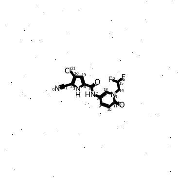 N#Cc1[nH]c(C(=O)Nc2ccc(=O)n(CC(F)F)c2)cc1Cl